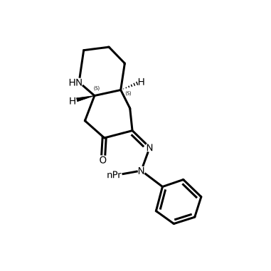 CCCN(N=C1C[C@@H]2CCCN[C@H]2CC1=O)c1ccccc1